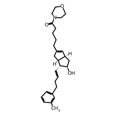 Cc1cccc(CC/C=C/[C@@H]2[C@H]3CC(CCCCC(=O)N4CCOCC4)=C[C@H]3C[C@H]2O)c1